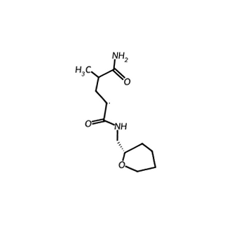 CC(C[CH]C(=O)NC[C@@H]1CCCCO1)C(N)=O